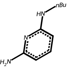 CCCCNc1cccc(N)n1